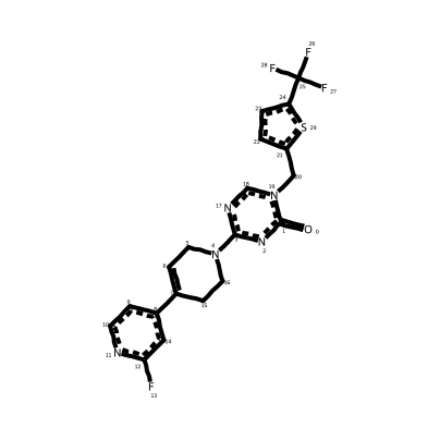 O=c1nc(N2CC=C(c3ccnc(F)c3)CC2)ncn1Cc1ccc(C(F)(F)F)s1